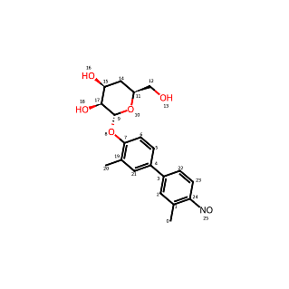 Cc1cc(-c2ccc(O[C@H]3O[C@H](CO)C[C@H](O)[C@@H]3O)c(C)c2)ccc1N=O